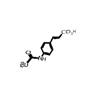 CCC(C)C(=O)Nc1ccc(/C=C/C(=O)O)cc1